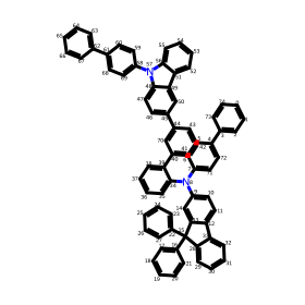 c1ccc(-c2ccc(N(c3ccc4c(c3)C(c3ccccc3)(c3ccccc3)c3ccccc3-4)c3ccccc3-c3cccc(-c4ccc5c(c4)c4ccccc4n5-c4ccc(-c5ccccc5)cc4)c3)cc2)cc1